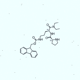 CCN(CC)C(=O)[C@H](CCCNC(=O)OCC1c2ccccc2-c2ccccc21)NC(=O)[C@@H]1CCCN1